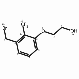 OCCOc1cccc(CBr)c1C(F)(F)F